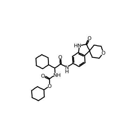 O=C(NC(C(=O)Nc1ccc2c(c1)NC(=O)C21CCOCC1)C1CCCCC1)OC1CCCCC1